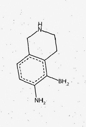 Bc1c(N)ccc2c1CCNC2